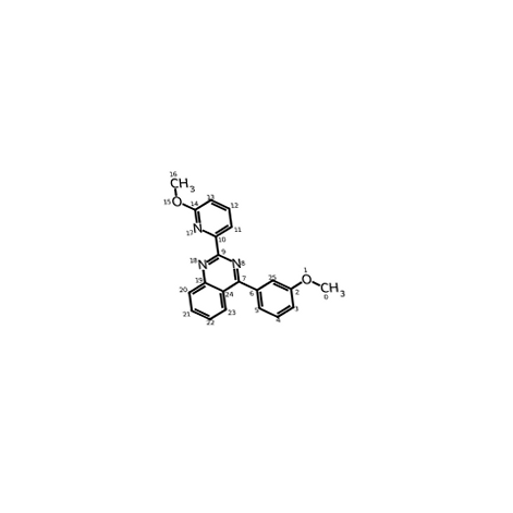 COc1cccc(-c2nc(-c3cccc(OC)n3)nc3ccccc23)c1